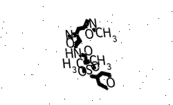 Cc1ncc(Cc2cc(NC(=O)C(C)(C)S(=O)(=O)CC3CCOCC3)on2)o1